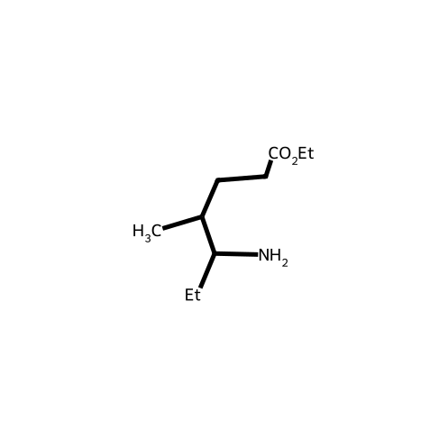 CCOC(=O)CCC(C)C(N)CC